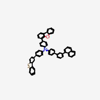 c1cc(-c2ccc(N(c3ccc(-c4ccc5sc6ccccc6c5c4)cc3)c3ccc(-c4cccc5c4oc4ccccc45)cc3)cc2)cc(-c2cccc3ccccc23)c1